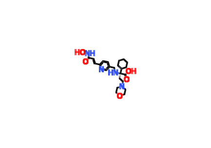 O=C(C=Cc1ccc(CN[C@](CCN2CCOCC2)(C(=O)O)C2CCCCC2)cn1)NO